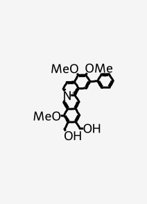 COc1c(-c2ccccc2)cc2c(cc[n+]3cc4c(OC)c(CO)c(CO)cc4cc23)c1OC